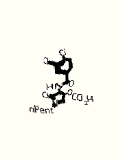 CCCCCN1C[C@H](OC(=O)O)[C@H](NC(=O)c2ccc(Cl)c(Cl)c2)C1=O